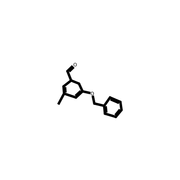 CC1=CC(C=O)CC(OCc2ccccc2)=C1